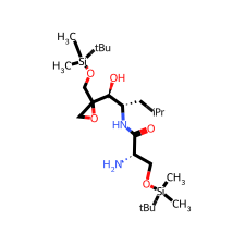 CC(C)C[C@H](NC(=O)[C@@H](N)CO[Si](C)(C)C(C)(C)C)[C@H](O)C1(CO[Si](C)(C)C(C)(C)C)CO1